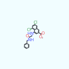 COC(=O)c1cc(NCC(=O)NCc2ccccc2)c2c(Cl)cc(Cl)cc2c1